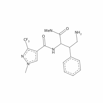 CNC(=O)C(NC(=O)c1cn(C)nc1C(F)(F)F)C(CN)c1ccccc1